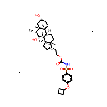 CC[C@H]1[C@@H](O)[C@@H]2[C@H](CC[C@]3(C)[C@@H](CCOC(=O)NS(=O)(=O)c4ccc(OC5CCC5)cc4)CC[C@@H]23)[C@@]2(C)CC[C@@H](O)C[C@@H]12